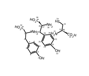 NC(Cc1ccc(O)cc1)C(=O)O.N[C@@H](CS)C(=O)O.N[C@@H](Cc1ccc(O)cc1)C(=O)O